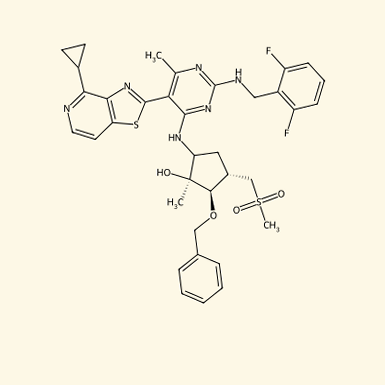 Cc1nc(NCc2c(F)cccc2F)nc(NC2C[C@H](CS(C)(=O)=O)[C@@H](OCc3ccccc3)[C@@]2(C)O)c1-c1nc2c(C3CC3)nccc2s1